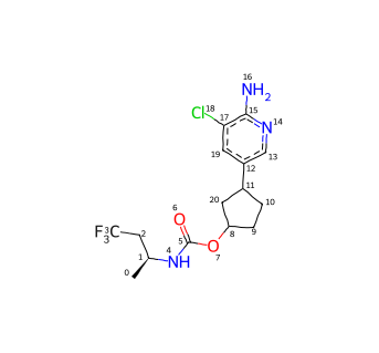 C[C@@H](CC(F)(F)F)NC(=O)OC1CCC(c2cnc(N)c(Cl)c2)C1